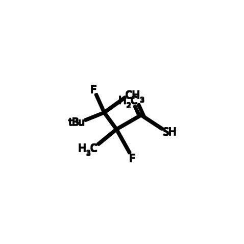 C=C(S)C(C)(F)C(C)(F)C(C)(C)C